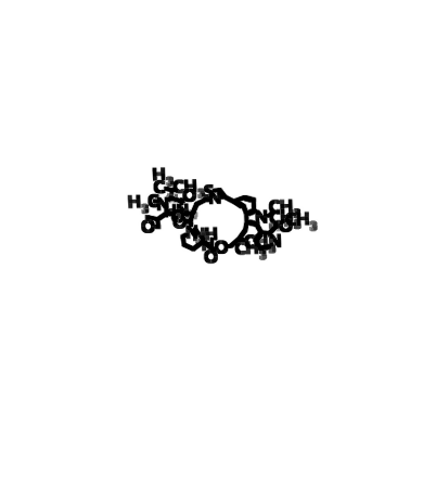 CCn1c(-c2cccnc2[C@H](C)OC)c2c3cc(ccc31)-c1csc(n1)C[C@H](NC(=O)[C@H](C(C)C)N(C)C(=O)C1COC1)C(=O)N1CCC[C@H](N1)C(=O)OCC(C)(C)C2